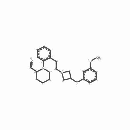 COc1cccc(OC2CN(CCc3ccccc3N3CCCCC3C=O)C2)c1